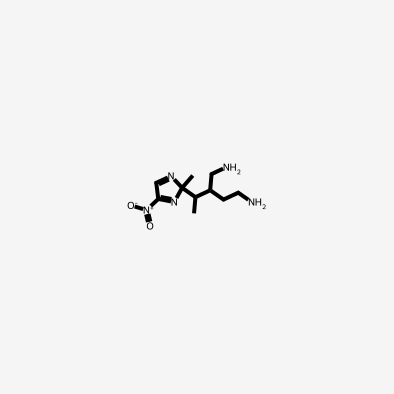 CC(C(CN)CCN)C1(C)N=CC([N+](=O)[O-])=N1